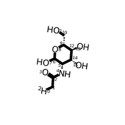 [2H]CC(=O)N[C@@H]1C(O)O[C@H](CO)[C@@H](O)[C@@H]1O